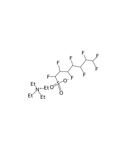 CC[N+](CC)(CC)CC.O=S(=O)([O-])C(F)C(F)C(F)C(F)C(F)C(F)C(F)F